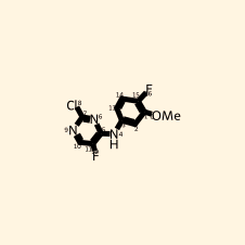 COc1cc(Nc2nc(Cl)ncc2F)ccc1F